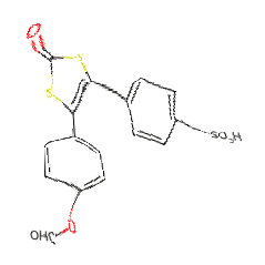 O=COc1ccc(-c2sc(=O)sc2-c2ccc(S(=O)(=O)O)cc2)cc1